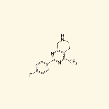 Fc1ccc(-c2nc3c(c(C(F)(F)F)n2)CCNC3)cc1